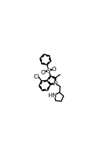 Cc1c(S(=O)(=O)c2ccccc2)c2c(Cl)cccc2n1CC1CCCN1